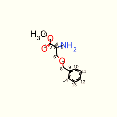 COC(=O)[C@@H](N)COCc1ccccc1